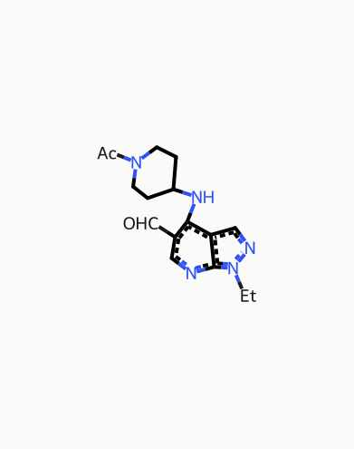 CCn1ncc2c(NC3CCN(C(C)=O)CC3)c(C=O)cnc21